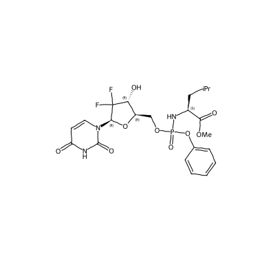 COC(=O)[C@H](CC(C)C)NP(=O)(OC[C@H]1O[C@@H](n2ccc(=O)[nH]c2=O)C(F)(F)[C@@H]1O)Oc1ccccc1